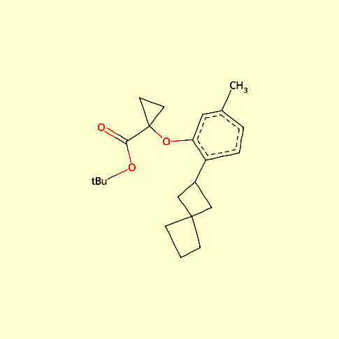 Cc1ccc(C2CC3(CCC3)C2)c(OC2(C(=O)OC(C)(C)C)CC2)c1